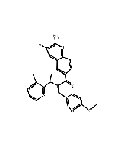 COc1ccc(CN(C(=O)c2ccc3nc(N)c(Br)cc3c2)C(C)c2ncccc2F)nn1